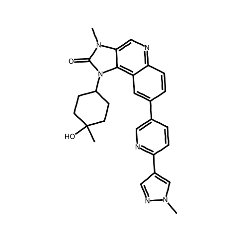 Cn1cc(-c2ccc(-c3ccc4ncc5c(c4c3)n(C3CCC(C)(O)CC3)c(=O)n5C)cn2)cn1